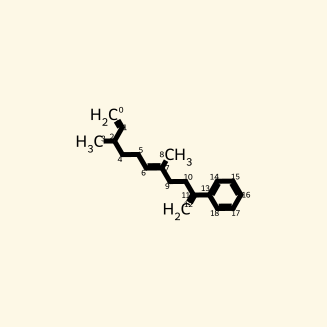 C=CC(C)CC/C=C(\C)CCC(=C)c1ccccc1